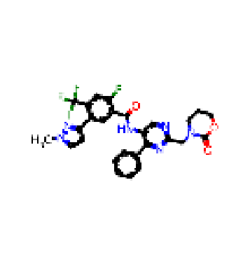 Cn1ccc(-c2cc(C(=O)Nc3cnc(CN4CCCOC4=O)nc3-c3ccccc3)c(F)cc2C(F)(F)F)n1